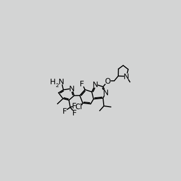 Cc1cc(N)nc(-c2c(Cl)cc3c(C(C)C)nc(OCC4CCCN4C)nc3c2F)c1C(F)(F)F